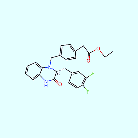 CCOC(=O)Cc1ccc(CN2c3ccccc3NC(=O)[C@H]2Cc2ccc(F)c(F)c2)cc1